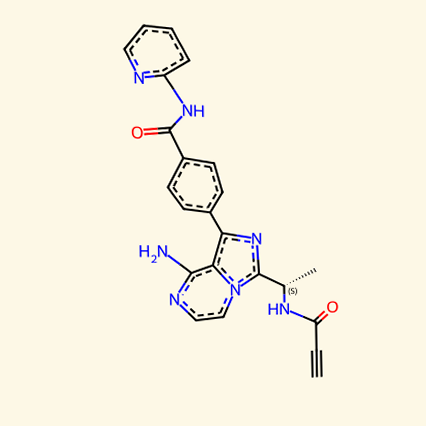 C#CC(=O)N[C@@H](C)c1nc(-c2ccc(C(=O)Nc3ccccn3)cc2)c2c(N)nccn12